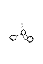 C1=CC[C]([Ti+2][c]2cccc3c2Cc2ccccc2-3)=C1.[Cl-].[Cl-]